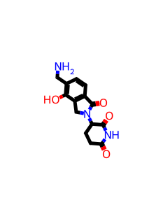 NCc1ccc2c(c1O)CN(C1CCC(=O)NC1=O)C2=O